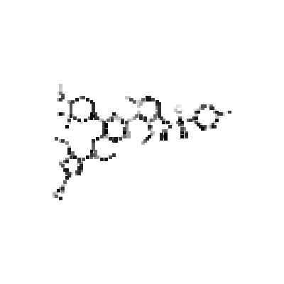 CCn1nc(C2CC2)cc1N1CCc2nc(-c3c(C)ccc4c3c(C)nn4S(=O)(=O)c3ccc(C)cc3)nc(N3CC[C@@H](OC)C(C)(C)C3)c2C1